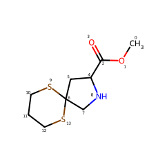 COC(=O)C1CC2(CN1)SCCCS2